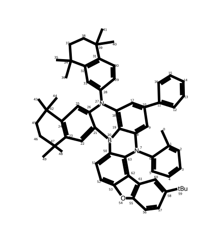 Cc1ccccc1N1c2cc(-c3ccccc3)cc3c2B(c2cc4c(cc2N3c2ccc3c(c2)C(C)(C)CCC3(C)C)C(C)(C)CCC4(C)C)c2ccc3oc4ccc(C(C)(C)C)cc4c3c21